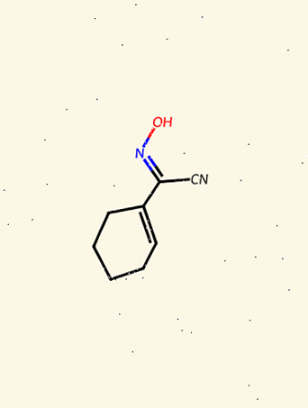 N#CC(=NO)C1=CCCCC1